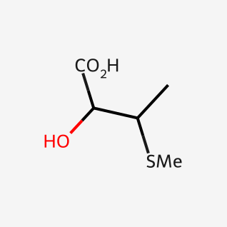 CSC(C)C(O)C(=O)O